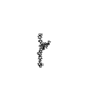 Cc1nc(NC(=O)C(C)C)sc1S(=O)(=O)N1Cc2cc3c(cc2C[C@H]1C(=O)N[C@@H](Cc1ccc(-c2ccc(C#N)cc2)cc1)C(=O)O)OCC(c1ccc(OCc2ccc(Cl)c(Cl)c2)cc1)O3